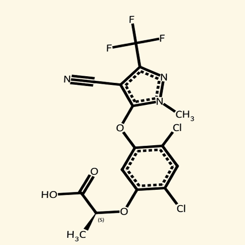 C[C@H](Oc1cc(Oc2c(C#N)c(C(F)(F)F)nn2C)c(Cl)cc1Cl)C(=O)O